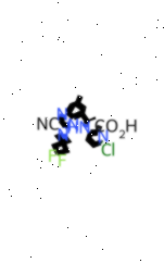 Cc1cc([C@@H](C)Nc2ccc(Cl)nc2C(=O)O)c2nc(N3CC4(C3)CC(F)(F)C4)c(C#N)nc2c1